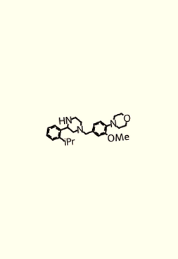 COc1cc(CN2CCNC(c3ccccc3C(C)C)C2)ccc1N1CCOCC1